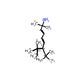 CC(C)(N)C=CC=CC(C(C)(C)C)C(C)(C)C